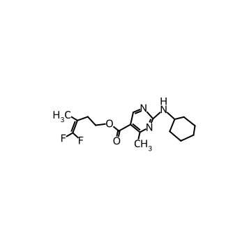 CC(CCOC(=O)c1cnc(NC2CCCCC2)nc1C)=C(F)F